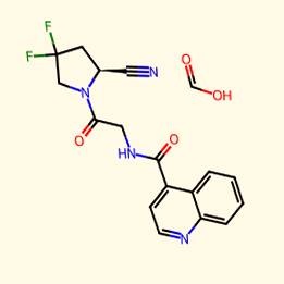 N#C[C@@H]1CC(F)(F)CN1C(=O)CNC(=O)c1ccnc2ccccc12.O=CO